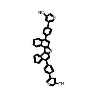 N#Cc1cncc(-c2ccc(-c3cc4sc5cc(-c6ccc(-c7cncc(C#N)c7)cc6)c6ccccc6c5c4c4ccccc34)cc2)c1